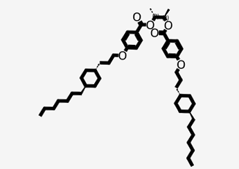 CCCCCCC[C@H]1CC[C@H](CCCOc2ccc(C(=O)O[C@H](C)[C@@H](C)OC(=O)c3ccc(OCCC[C@H]4CC[C@H](CCCCCCC)CC4)cc3)cc2)CC1